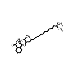 CC(C)CCCCCCCCCCCCC(OC(=O)C1CCCCC1C(=O)O)C(C)C